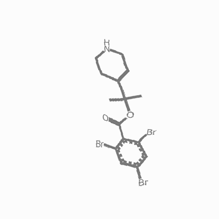 CC(C)(OC(=O)c1c(Br)cc(Br)cc1Br)C1CCNCC1